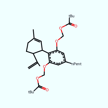 C=C(C)C1CCC(C)=CC1c1c(OCOC(=O)C(C)(C)C)cc(CCCCC)cc1OCOC(=O)C(C)(C)C